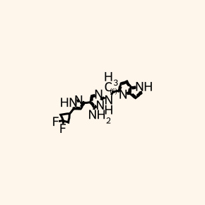 C[C@H](Nc1ncc(-c2cc(C3CC(F)(F)C3)[nH]n2)c(N)n1)c1ccc2[nH]ccc2n1